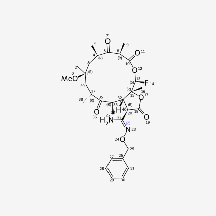 CO[C@@]1(C)C[C@@H](C)C(=O)[C@@H](C)C(=O)O[C@@H](F)[C@]2(C)OC(=O)[C@@H](/C(N)=N/OCc3ccccc3)[C@@H]2[C@@H](C)C(=O)[C@H](C)C1